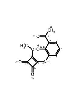 COc1c(Nc2cccc(C(C)=O)c2O)c(=O)c1=O